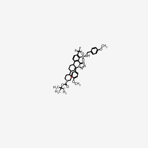 COc1ccc(CNS(=O)(=O)c2c(C(F)(F)F)ccc(C3CCC(C4CCN(C(=O)OC(C)(C)C)CC4)CC3)c2-c2nnnn2Cc2ccc(OC)cc2)cc1